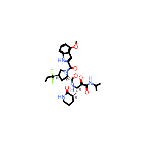 CCC(F)(F)[C@@H]1C[C@@H](C(=O)N[C@@H](C[C@@H]2CCCNC2=O)C(=O)C(=O)NC(C)C)N(C(=O)c2cc3c(OC)cccc3[nH]2)C1